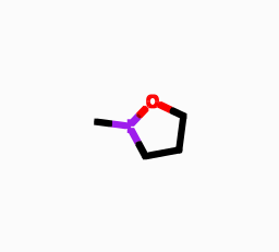 CI1CCCO1